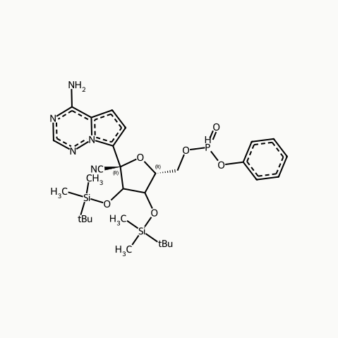 CC(C)(C)[Si](C)(C)OC1C(O[Si](C)(C)C(C)(C)C)[C@](C#N)(c2ccc3c(N)ncnn23)O[C@@H]1CO[PH](=O)Oc1ccccc1